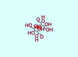 O=CC(O)C(O)C(O)C(O)CO.O=CC(O)C(O)C(O)CO